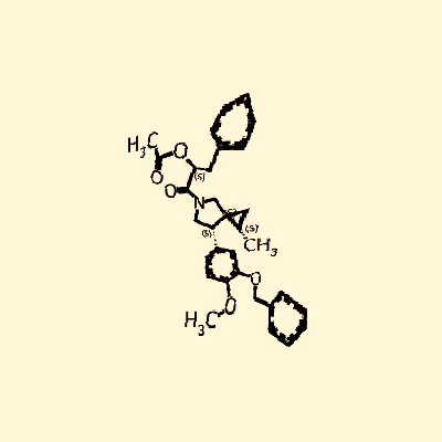 COc1ccc([C@@H]2CN(C(=O)[C@H](Cc3ccccc3)OC(C)=O)C[C@]23C[C@@H]3C)cc1OCc1ccccc1